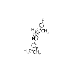 C=C(C)c1ccc(-c2ccc(NCC(C)(C)c3ccc(F)cc3)nn2)cc1F